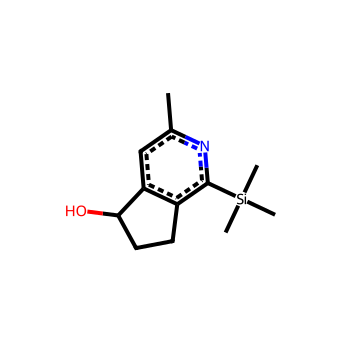 Cc1cc2c(c([Si](C)(C)C)n1)CCC2O